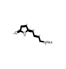 CCCCCCCC=C/C=C1/C=CC(=O)O1